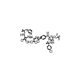 O=C(N[C@@H](CCNc1c(NCC2(Cn3ccnc3)CC2)c(=O)c1=O)C(=O)O)c1ccc(Nc2nc(NC3(c4ccc(Cl)cc4)CC3)nc(OCC(F)(F)F)n2)cc1